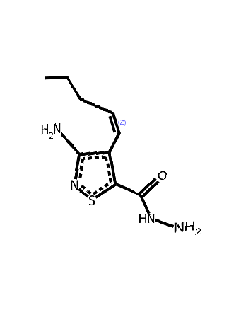 CCC/C=C\c1c(N)nsc1C(=O)NN